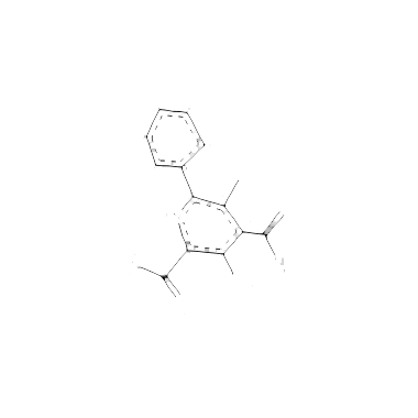 Cc1c(C(N)=O)nc(-c2ccccc2)c(C)c1C(N)=O